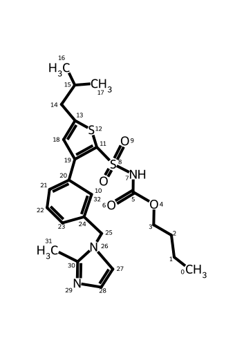 CCCCOC(=O)NS(=O)(=O)c1sc(CC(C)C)cc1-c1cccc(Cn2ccnc2C)c1